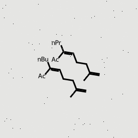 C=C(C)CCC=C(CCC)C(C)=O.C=C(C)CCC=C(CCCC)C(C)=O